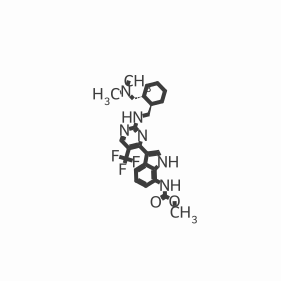 COC(=O)Nc1cccc2c(-c3nc(NC[C@@H]4CCCC[C@H]4CN(C)C)ncc3C(F)(F)F)c[nH]c12